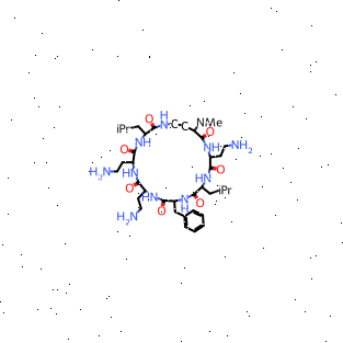 CNC1CCNC(=O)C(CC(C)C)NC(=O)C(CCN)NC(=O)C(CCN)NC(=O)C(Cc2ccccc2)NC(=O)C(CC(C)C)NC(=O)C(CCN)NC1=O